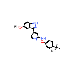 CC(C)Oc1ccc2[nH]nc(-c3ccnc(NOc4ccc(C(C)(C)C#N)cc4)c3)c2c1